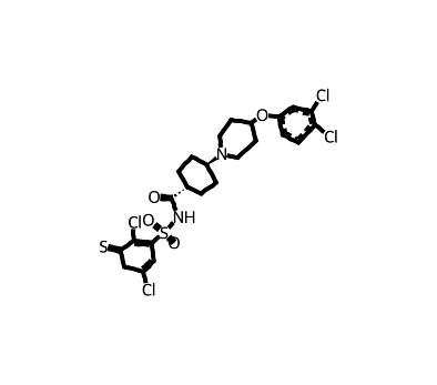 O=C(NS(=O)(=O)C1=C(Cl)C(=S)CC(Cl)=C1)[C@H]1CC[C@H](N2CCC(Oc3ccc(Cl)c(Cl)c3)CC2)CC1